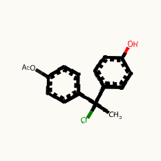 CC(=O)Oc1ccc(C(C)(Cl)c2ccc(O)cc2)cc1